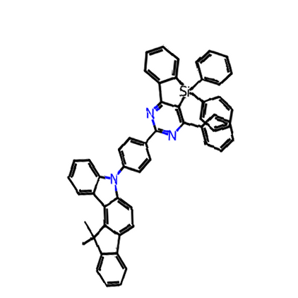 CC1(C)c2ccccc2-c2ccc3c(c21)c1ccccc1n3-c1ccc(-c2nc(-c3ccccc3)c3c(n2)-c2ccccc2[Si]3(c2ccccc2)c2ccccc2)cc1